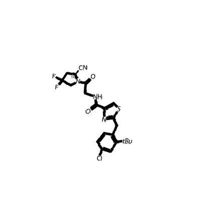 CC(C)(C)c1cc(Cl)ccc1Cc1nc(C(=O)NCC(=O)N2CC(F)(F)C[C@H]2C#N)cs1